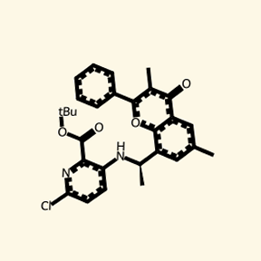 Cc1cc([C@@H](C)Nc2ccc(Cl)nc2C(=O)OC(C)(C)C)c2oc(-c3ccccc3)c(C)c(=O)c2c1